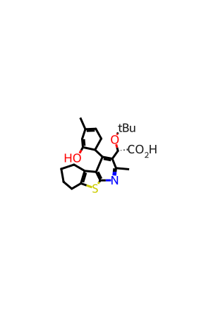 CC1=CCC(c2c([C@H](OC(C)(C)C)C(=O)O)c(C)nc3sc4c(c23)CCCC4)C(O)=C1